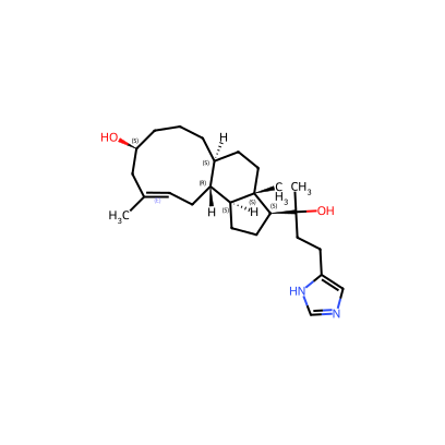 C/C1=C\C[C@@H]2[C@@H](CCC[C@H](O)C1)CC[C@]1(C)[C@@H](C(C)(O)CCc3cnc[nH]3)CC[C@@H]21